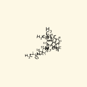 C=CC(=O)N1CC2(CCN(c3cc4c(c(-c5c(C)ccc6cnn(C)c56)c3)CCC(C)(C)C4)C2)C1